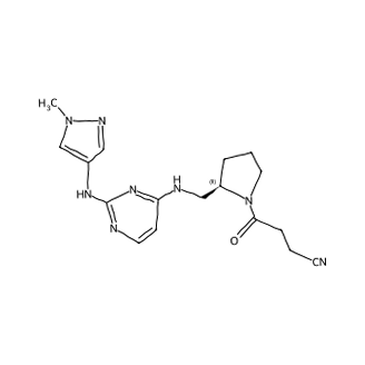 Cn1cc(Nc2nccc(NC[C@H]3CCCN3C(=O)CCC#N)n2)cn1